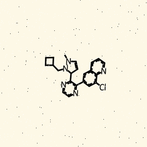 CN1C=CC(c2nccnc2-c2cc(Cl)c3ncccc3c2)N1CC1CCC1